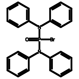 O=P(Br)(N(c1ccccc1)c1ccccc1)N(c1ccccc1)c1ccccc1